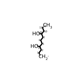 [CH2]CCC(O)CCCC(O)CCC